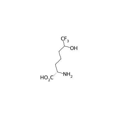 N[C@@H](CCCC(O)C(F)(F)F)C(=O)O